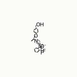 C=C(COc1ccc(CO)cc1)N1CC[C@H]([S@@+]([O-])c2ccccc2C(F)(F)F)C1